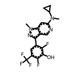 CN(c1cc2c(cn1)c(-c1cc(C(F)(F)F)c(F)c(O)c1F)nn2C)C1CC1